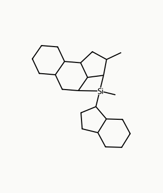 CC1CC2C3CCCCC3CC3C2C1[Si]3(C)C1CCC2CCCCC21